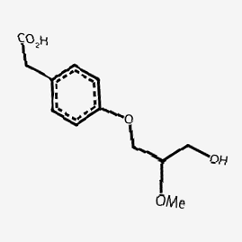 COC(CO)COc1ccc(CC(=O)O)cc1